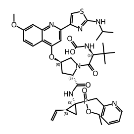 C=C[C@@H]1C[C@]1(NC(=O)[C@@H]1C[C@@H](Oc2cc(-c3csc(NC(C)C)n3)nc3cc(OC)ccc23)CN1C(=O)[C@@H](NC(=O)O)C(C)(C)C)P(=O)(Cc1ccccn1)OCC